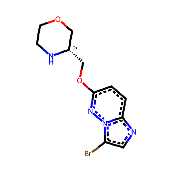 Brc1cnc2ccc(OC[C@H]3COCCN3)nn12